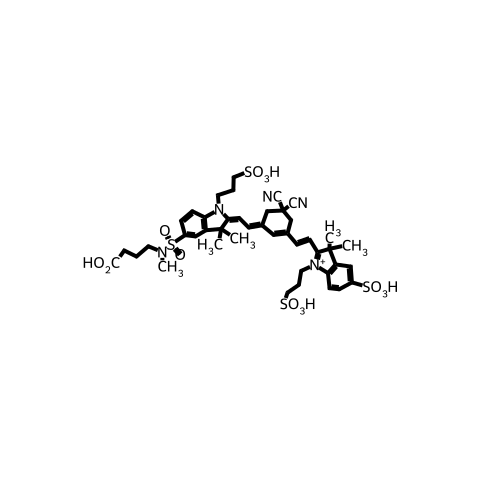 CN(CCCC(=O)O)S(=O)(=O)c1ccc2c(c1)C(C)(C)/C(=C\C=C1C=C(/C=C/C3=[N+](CCCS(=O)(=O)O)c4ccc(S(=O)(=O)O)cc4C3(C)C)CC(C#N)(C#N)C\1)N2CCCS(=O)(=O)O